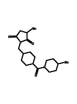 CC(C)(C)C1CCN(C(=O)C2CCC(CN3C(=O)CC(C(C)(C)C)C3=O)CC2)CC1